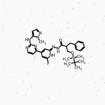 Cn1nccc1Nc1nccc(-c2cc(F)[nH]/c(=N\NC(=O)C(CO[Si](C)(C)C(C)(C)C)Cc3ccccc3)c2)n1